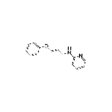 C(=COc1ccccc1)CNc1ccccn1